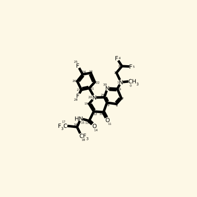 CN(CC(F)F)c1ccc2c(=O)c(C(=O)NC(C(F)(F)F)C(F)(F)F)cn(-c3ccc(F)cc3F)c2n1